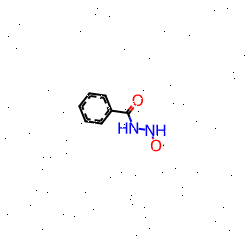 [O]NNC(=O)c1ccccc1